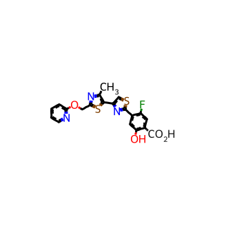 Cc1nc(COc2ccccn2)sc1-c1csc(-c2cc(O)c(C(=O)O)cc2F)n1